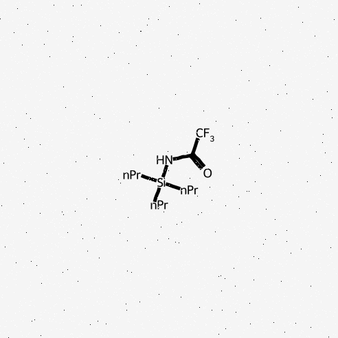 CCC[Si](CCC)(CCC)NC(=O)C(F)(F)F